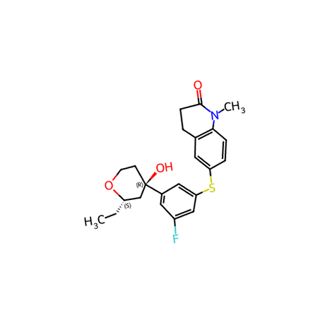 CC[C@H]1C[C@@](O)(c2cc(F)cc(Sc3ccc4c(c3)CCC(=O)N4C)c2)CCO1